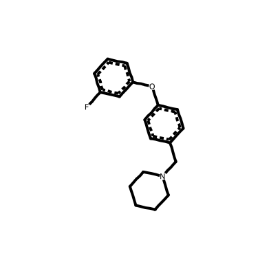 Fc1cccc(Oc2ccc(CN3CCCCC3)cc2)c1